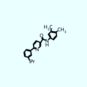 Cc1ccc(NC(=O)c2ccc(-c3cccc(C(C)C)c3)nc2)cc1C